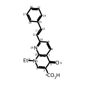 CCn1cc(C(=O)O)c(=O)c2ccc(/C=C/c3ccccc3)nc21